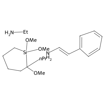 CCCC1(OC)CCCC[Si]1(OC)OC.CCN.NC=Cc1ccccc1